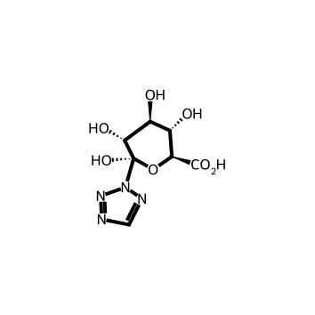 O=C(O)[C@H]1O[C@@](O)(n2ncnn2)[C@H](O)[C@@H](O)[C@@H]1O